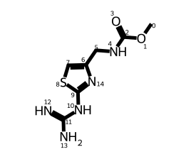 COC(=O)NCc1csc(NC(=N)N)n1